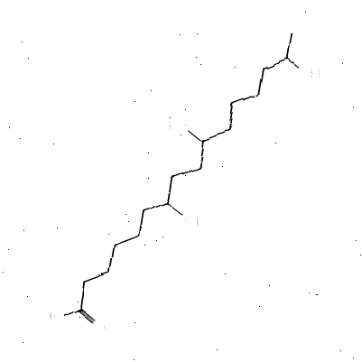 CC(O)CCCCC(O)CCC(O)CCCCCC(=O)O